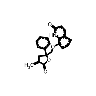 C=C1CC(COc2cccc3ccc(=O)[nH]c23)(c2ccccc2)OC1=O